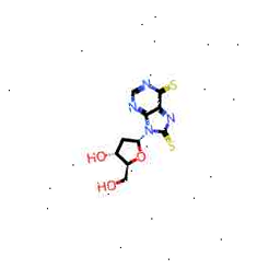 OC[C@@H]1O[C@@H](N2C(=S)N=C3C(=S)N=CN=C32)C[C@H]1O